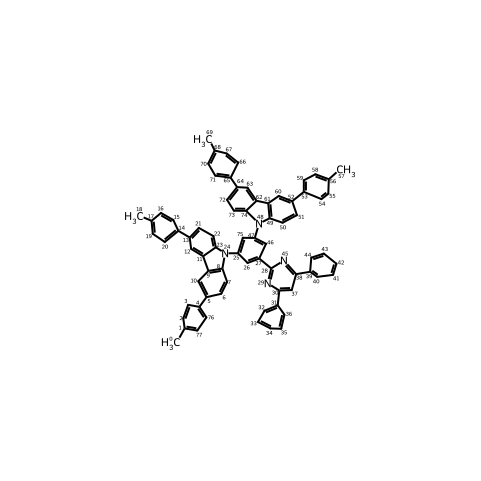 Cc1ccc(-c2ccc3c(c2)c2cc(-c4ccc(C)cc4)ccc2n3-c2cc(-c3nc(-c4ccccc4)cc(-c4ccccc4)n3)cc(-n3c4ccc(-c5ccc(C)cc5)cc4c4cc(-c5ccc(C)cc5)ccc43)c2)cc1